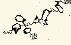 COC(=O)c1cccc(COc2ccc3c(c2)COc2cc(COC(c4ccccc4)(c4ccc(OC)cc4)c4ccc(OC)cc4)ccc2-3)c1